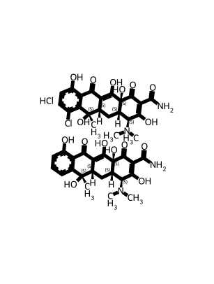 CN(C)[C@@H]1C(O)=C(C(N)=O)C(=O)[C@@]2(O)C(O)=C3C(=O)c4c(O)ccc(Cl)c4[C@@](C)(O)[C@H]3C[C@@H]12.CN(C)[C@@H]1C(O)=C(C(N)=O)C(=O)[C@@]2(O)C(O)=C3C(=O)c4c(O)cccc4[C@@](C)(O)[C@H]3C[C@@H]12.Cl